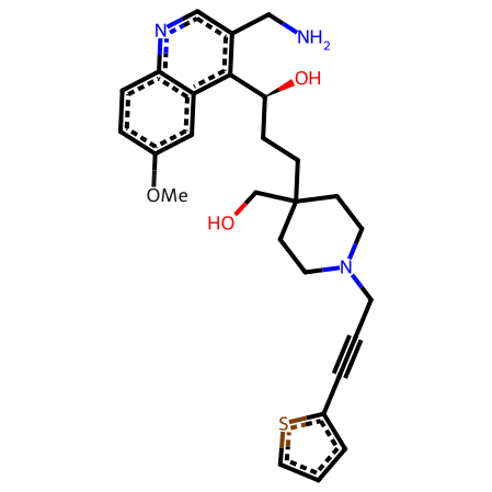 COc1ccc2ncc(CN)c([C@@H](O)CCC3(CO)CCN(CC#Cc4cccs4)CC3)c2c1